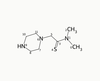 CN(C)C(=S)CN1CCNCC1